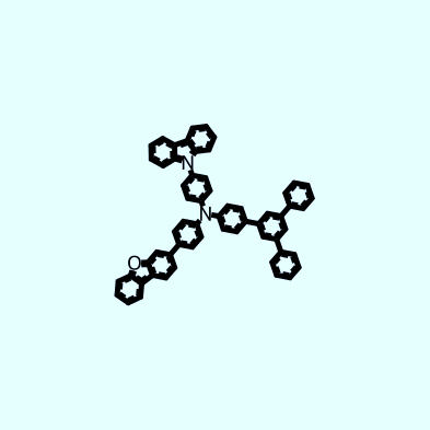 c1ccc(-c2cc(-c3ccccc3)cc(-c3ccc(N(c4ccc(-c5ccc6c(c5)oc5ccccc56)cc4)c4ccc(-n5c6ccccc6c6ccccc65)cc4)cc3)c2)cc1